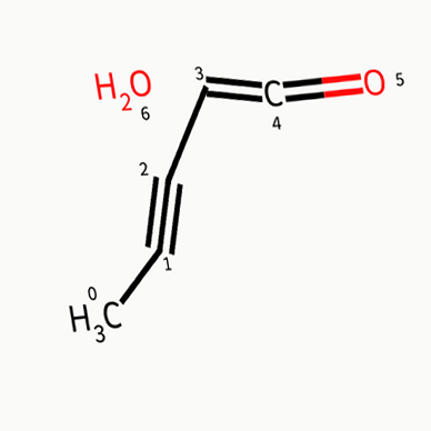 CC#CC=C=O.O